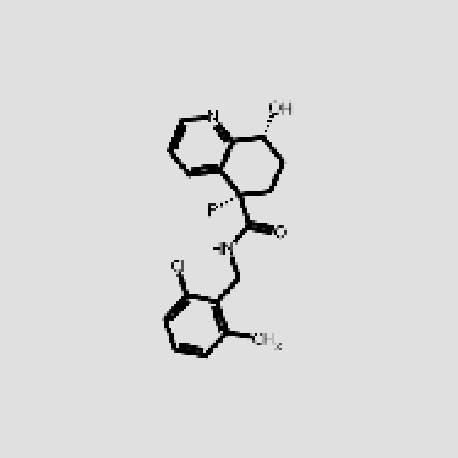 Cc1cccc(Cl)c1CNC(=O)[C@]1(F)CC[C@@H](O)c2ncccc21